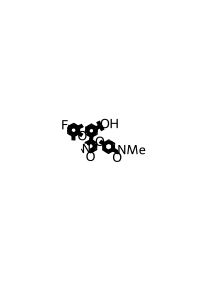 CNC(=O)C1CCC(Oc2cc(=O)n(C)cc2-c2cc(C(C)(C)O)ccc2Oc2c(C)cc(F)cc2C)CC1